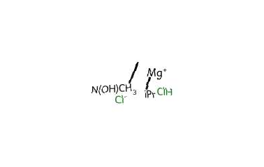 CN(C)O.C[CH](C)[Mg+].Cl.[Cl-]